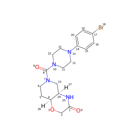 O=C1CO[C@H]2CCN(C(=O)N3CCN(c4ccc(Br)cc4)CC3)C[C@H]2N1